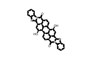 O=c1c2ccc3c4c(O)cc5c6c(ccc(c7c(O)cc(c2c37)c2nc3ccccc3n12)c46)c(=O)n1c2ccccc2nc51